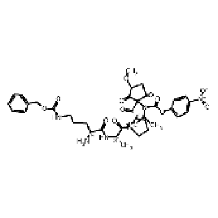 COC1CC(=O)C(C(=O)[C@@H]2CCCN2C(=O)[C@H](C)NC(=O)[C@@H](N)CCCNC(=O)OCc2ccccc2)(N(C(=O)Oc2ccc([N+](=O)[O-])cc2)C(C)C)C1=O